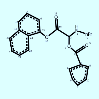 CCCNC(OC(=O)c1ccccc1)C(=O)Oc1cccc2ccccc12